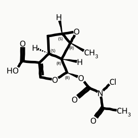 CC(=O)N(Cl)C(=O)O[C@H]1OC=C(C(=O)O)[C@H]2C[C@@H]3O[C@]3(C)[C@H]12